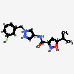 C=C(C)c1cc(C(=O)Nc2cnn(Cc3cccc(F)c3)c2)no1